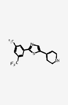 FC(F)(F)c1cc(-c2ncc(C3CCNCC3)s2)cc(C(F)(F)F)c1